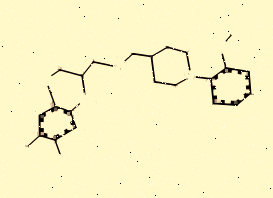 COc1ccccc1N1CCC(CNCC2COc3cc(Cl)c(Cl)cc3O2)CC1.Cl